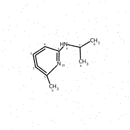 CC1=C=C=CC(NC(C)C)=N1